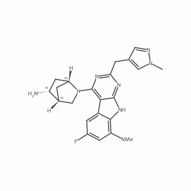 CNc1cc(F)cc2c1[nH]c1nc(Cc3cnn(C)c3)nc(N3C[C@H]4C[C@@H]3C[C@H]4N)c12